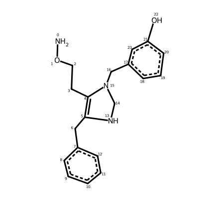 NOCCC1=C(Cc2ccccc2)NCN1Cc1cccc(O)c1